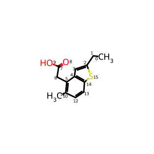 CCc1cc2c(CC(=O)O)c(C)ccc2s1